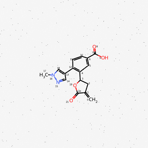 C=C1CC(c2cc(C(=O)O)ccc2-c2cnn(C)c2)OC1=O